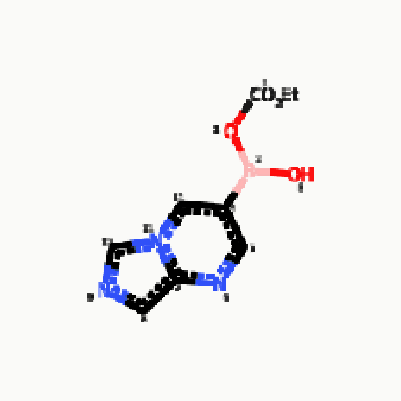 CCOC(=O)OB(O)c1cnc2cncn2c1